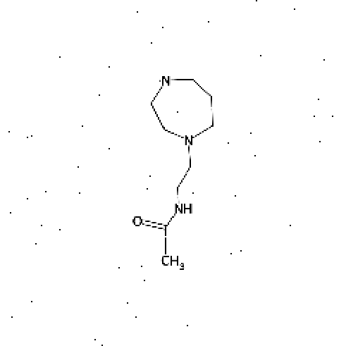 CC(=O)NCCN1CCC[N]CC1